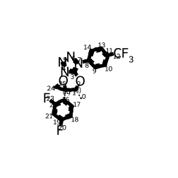 C[C@@H](Oc1nnnn1-c1ccc(C(F)(F)F)cc1)[C@@]1(c2ccc(F)cc2F)CO1